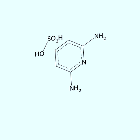 Nc1cccc(N)n1.O=S(=O)(O)O